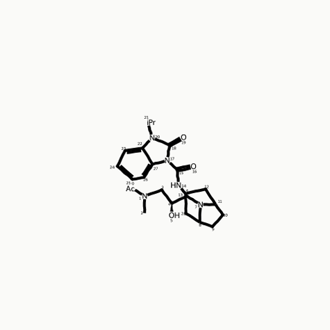 CC(=O)N(C)C[C@H](O)CN1C2CCC1CC(NC(=O)n1c(=O)n(C(C)C)c3ccccc31)C2